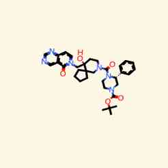 CC(C)(C)OC(=O)N1CCN(C(=O)N2CC[C@@](O)(Cn3ccc4ncncc4c3=O)C3(CCCC3)C2)[C@H](c2ccccc2)C1